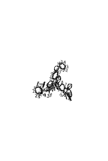 Cc1noc(=O)c2ccc(NC(=O)C(O)(CC(C)(C)c3ccccc3)c3ccc(Oc4ccccc4)cc3)cc12